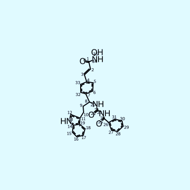 O=C(C=Cc1ccc(C(CCc2c[nH]c3ccccc23)NC(=O)NC(=O)c2ccccc2)cc1)NO